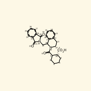 O=C(O)[C@@H]1CCCCC1C(=O)N1CCc2ccccc2C1CN1C(=O)c2ccccc2C1=O